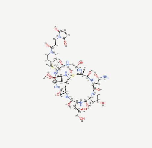 CC[C@H](C)[C@@H]1NC(=O)CNC(=O)[C@@H]2Cc3c([nH]c4c(CSC5CCN(C(=O)CCN6C(=O)C=CC6=O)CC5)c(OC)ccc34)[S+]([O-])C[C@H](NC(O)CNC1=O)C(=O)N[C@@H](CC(N)=O)C(=O)N1C[C@H](O)C[C@H]1C(=O)N[C@@H]([C@@H](C)[C@@H](O)CO)C(=O)N2